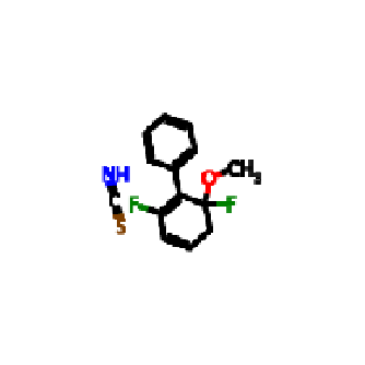 COC1(F)CC=CC(F)=C1c1ccccc1.N=C=S